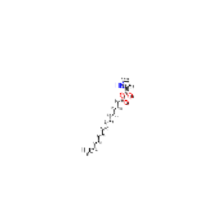 CCCCCCCCCCCCCCCC(=O)OC(=O)[C@@H]1CCCN1